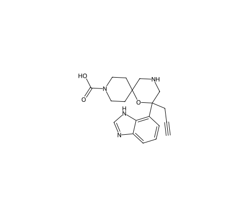 C#CCC1(c2cccc3nc[nH]c23)CNCC2(CCN(C(=O)O)CC2)O1